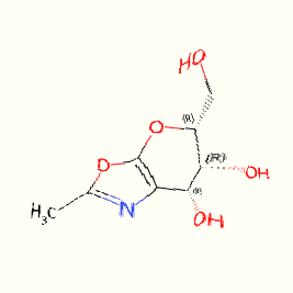 Cc1nc2c(o1)O[C@H](CO)[C@H](O)[C@@H]2O